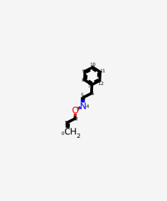 C=CCON=CCc1ccccc1